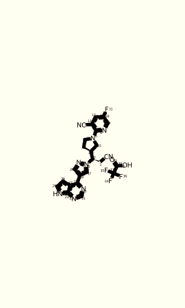 N#CC[C@@H]([C@H]1CCN(c2ncc(F)cc2C#N)C1)n1cc(-c2ncnc3[nH]ccc23)cn1.O=C(O)C(F)(F)F